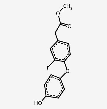 COC(=O)Cc1ccc(Oc2ccc(O)cc2)c(I)c1